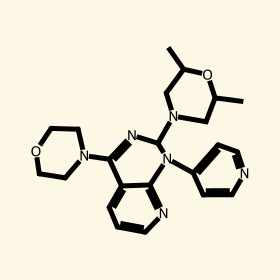 CC1CN(C2N=C(N3CCOCC3)c3cccnc3N2c2ccncc2)CC(C)O1